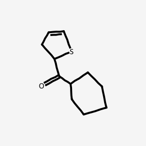 O=C(C1CCCCC1)C1CC=CS1